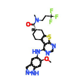 COc1cc2[nH]ncc2cc1Nc1ncnc2sc3c(c12)CC[C@H](C(=O)N(C)CCC(F)(F)F)C3